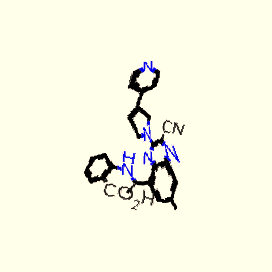 Cc1cc([C@@H](C)Nc2ccccc2C(=O)O)c2nc(N3CCC(c4ccncc4)C3)c(C#N)nc2c1